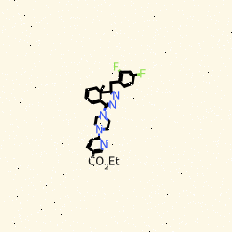 CCOC(=O)c1ccc(N2CCN(C3=NN=C(Cc4ccc(F)cc4F)C4(C)CC=CC=C34)CC2)nc1